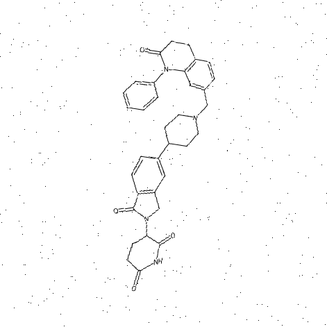 O=C1CCC(N2Cc3cc(C4CCN(Cc5ccc6c(c5)N(c5ccccc5)C(=O)CC6)CC4)ccc3C2=O)C(=O)N1